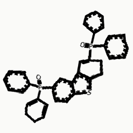 O=P(C1=CCCC=C1)(c1ccccc1)c1ccc2sc3c(c2c1)C=C(P(=O)(c1ccccc1)c1ccccc1)CC3